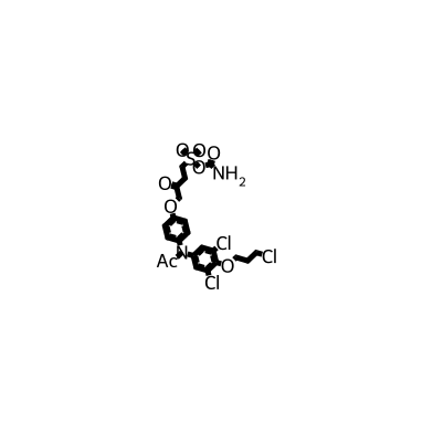 CC(=O)N(c1ccc(OCC(=O)CCS(=O)(=O)OC(N)=O)cc1)c1cc(Cl)c(OCCCCl)c(Cl)c1